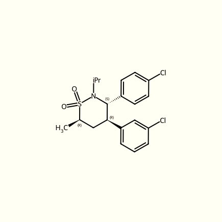 CC(C)N1[C@H](c2ccc(Cl)cc2)[C@@H](c2cccc(Cl)c2)C[C@@H](C)S1(=O)=O